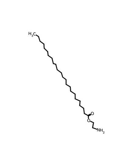 CCCCCCCCCCCCCCCCCCCCCCCC(=O)OCCN